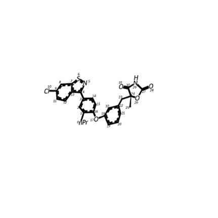 CCCc1cc(-c2nsc3cc(Cl)ccc23)ccc1Oc1cccc(C[C@@]2(C)OC(=O)NC2=O)c1